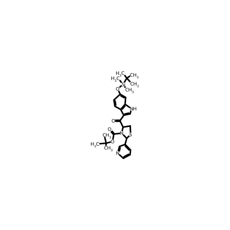 CC(C)(C)OC(=O)N1C(C(=O)c2c[nH]c3cc(O[Si](C)(C)C(C)(C)C)ccc23)CSC1c1cccnc1